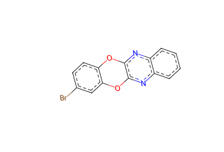 Brc1ccc2c(c1)Oc1nc3ccccc3nc1O2